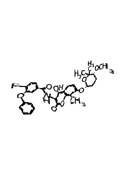 CO[C@@H]1CC[C@H](Oc2ccc3c(O)c(NC(=O)c4ccc(F)c(Oc5ccccc5)c4)c(=O)oc3c2C)OC1(C)C